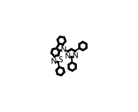 c1ccc(-c2cc(-n3c4ccccc4c4ccc5nc(-c6ccccc6)sc5c43)nc(-c3ccccc3)n2)cc1